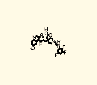 COc1ccc2ncc(N(C)C)c([C@H](F)CCC3(CC(=O)O)CCN(CCNc4cc(F)cc(F)c4F)CC3)c2c1